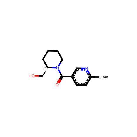 COc1ccc(C(=O)N2CCCC[C@H]2CO)cn1